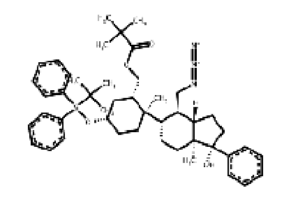 CC(C)(C)C(=O)OC[C@H]1C[C@@H](O[Si](c2ccccc2)(c2ccccc2)C(C)(C)C)CC[C@]1(C)[C@H]1CC[C@@]2(C)[C@@H](CC[C@@]2(O)c2ccccc2)[C@@H]1CN=[N+]=[N-]